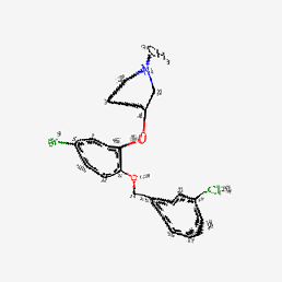 CN1CCC(Oc2cc(Br)ccc2OCc2cccc(Cl)c2)C1